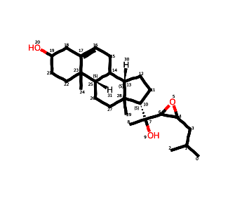 CC(C)CC1OC1C(C)(O)[C@H]1CC[C@H]2C3CC=C4CC(O)CCC4(C)[C@H]3CCC12C